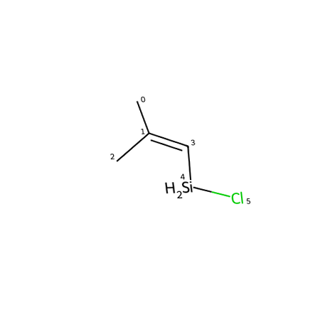 CC(C)=C[SiH2]Cl